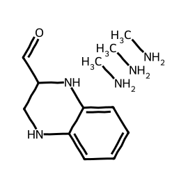 CN.CN.CN.O=CC1CNc2ccccc2N1